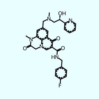 CN(Cc1cc2c3c(c1)c(=O)c(C(=O)NCc1ccc(F)cc1)cn3CC(=O)N2C)C[C@@H](O)c1ccccn1